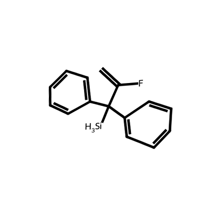 C=C(F)C([SiH3])(c1ccccc1)c1ccccc1